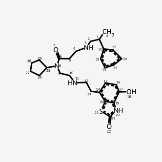 CC(CNCCC(=O)N(CCNCCc1ccc(O)c2[nH]c(=O)sc12)C1CCCC1)c1ccccc1